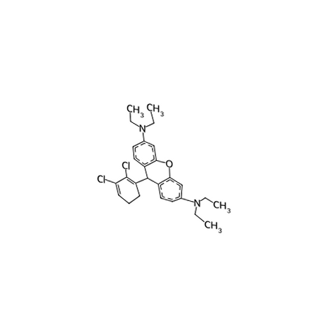 CCN(CC)c1ccc2c(c1)Oc1cc(N(CC)CC)ccc1C2C1=C(Cl)C(Cl)=CCC1